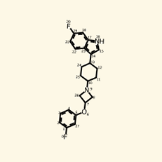 Fc1cccc(OC2CN(C3CCC(c4c[nH]c5cc(F)ccc45)CC3)C2)c1